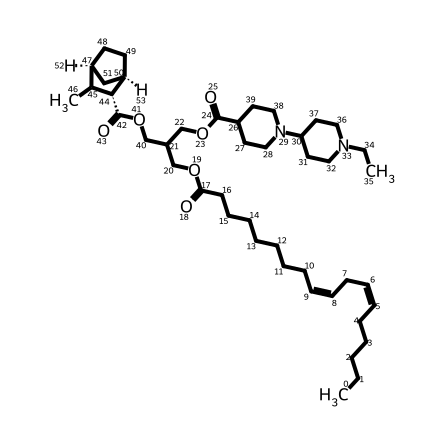 CCCCC/C=C\C/C=C\CCCCCCCC(=O)OCC(COC(=O)C1CCN(C2CCN(CC)CC2)CC1)COC(=O)[C@@H]1C(C)[C@H]2CC[C@@H]1C2